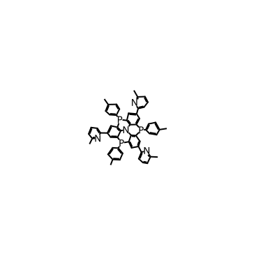 Cc1ccc(P2c3cc(-c4cccc(C)n4)cc4c3N3c5c2cc(-c2cccc(C)n2)cc5P(c2ccc(C)cc2)c2cc(-c5cccc(C)n5)cc(c23)P4c2ccc(C)cc2)cc1